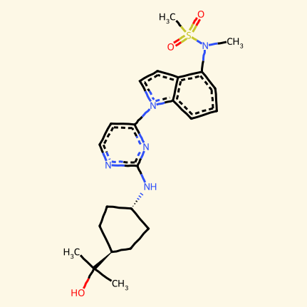 CN(c1cccc2c1ccn2-c1ccnc(N[C@H]2CC[C@H](C(C)(C)O)CC2)n1)S(C)(=O)=O